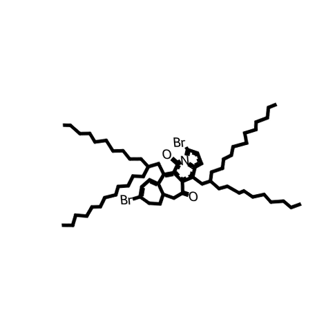 CCCCCCCCCCCCC(CCCCCCCCCC)CC1=c2c(c(CC(CCCCCCCCCC)CCCCCCCCCCCC)c3ccc(Br)n3c2=O)C(=O)CC2CCC(Br)=CC=C12